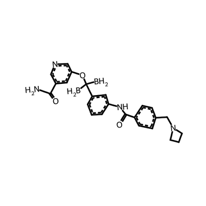 BC(B)(Oc1cncc(C(N)=O)c1)c1cccc(NC(=O)c2ccc(CN3CCC3)cc2)c1